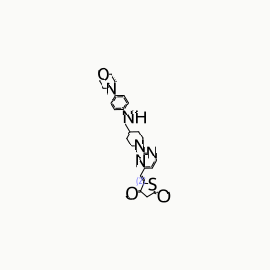 O=C1CC(=O)/C(=C/c2ccnc(N3CCC(CNc4ccc(N5CCOCC5)cc4)CC3)n2)S1